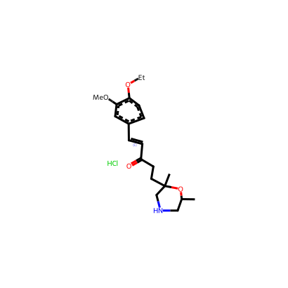 CCOc1ccc(/C=C/C(=O)CCC2(C)CNCC(C)O2)cc1OC.Cl